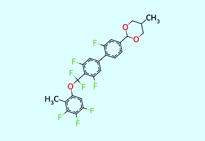 Cc1c(OC(F)(F)c2c(F)cc(-c3ccc(C4OCC(C)CO4)cc3F)cc2F)cc(F)c(F)c1F